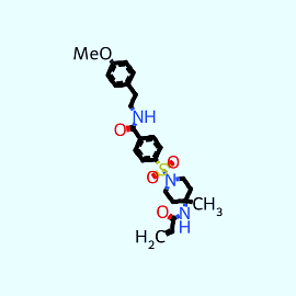 C=CC(=O)NC1(C)CCN(S(=O)(=O)c2ccc(C(=O)NCCc3ccc(OC)cc3)cc2)CC1